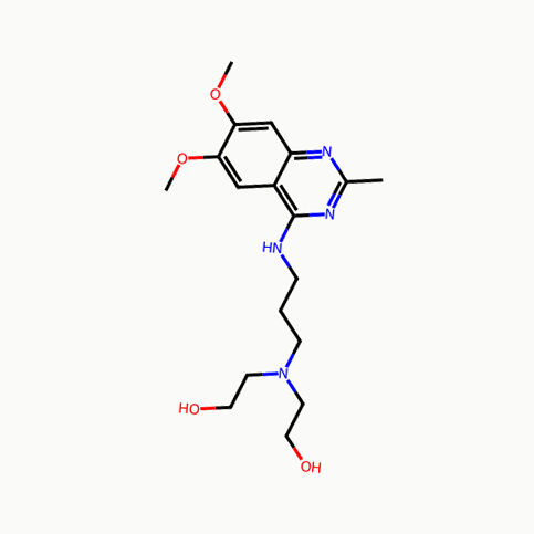 COc1cc2nc(C)nc(NCCCN(CCO)CCO)c2cc1OC